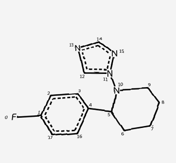 Fc1ccc(C2C[CH]CCN2n2cncn2)cc1